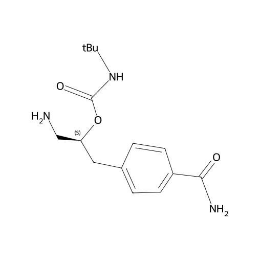 CC(C)(C)NC(=O)O[C@H](CN)Cc1ccc(C(N)=O)cc1